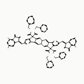 O=C1C(=O)c2c(F)cc(F)cc2/C1=C/c1cc2c(s1)C1=CC3C=C4C(=CC3C=C1C2(C(=O)OCc1ccccc1)C(=O)OCc1ccccc1)c1sc(/C=C2\C(=O)C(=O)c3c(F)cc(F)cc32)cc1C4(C(=O)OCc1ccccc1)C(=O)OCc1ccccc1